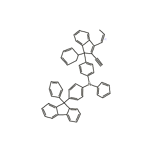 C#CC1=C(/C=C\C)c2ccccc2C1(c1ccc(N(c2ccccc2)c2ccc(C3(c4ccccc4)c4ccccc4-c4ccccc43)cc2)cc1)C1C=CC=CC1